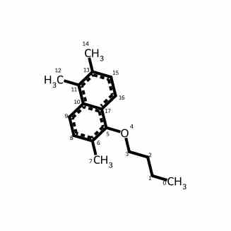 CCCCOc1c(C)ccc2c(C)c(C)ccc12